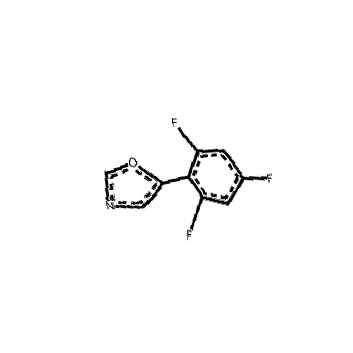 Fc1cc(F)c(-c2cnco2)c(F)c1